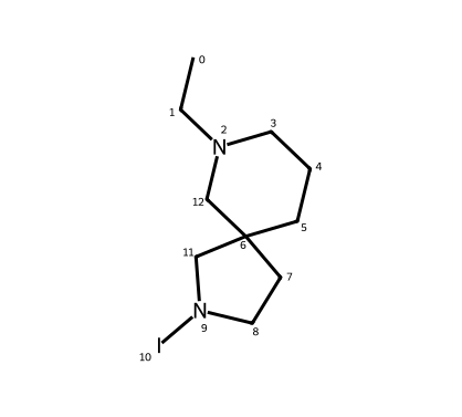 CCN1CCCC2(CCN(I)C2)C1